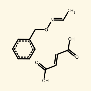 CC=NOCc1ccccc1.O=C(O)C=CC(=O)O